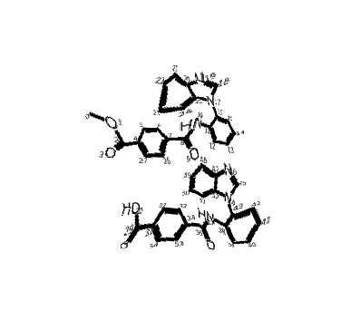 COC(=O)c1ccc(C(=O)Nc2ccccc2-n2cnc3ccccc32)cc1.O=C(O)c1ccc(C(=O)Nc2ccccc2-n2cnc3ccccc32)cc1